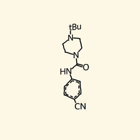 CC(C)(C)N1CCN(C(=O)Nc2ccc(C#N)cc2)CC1